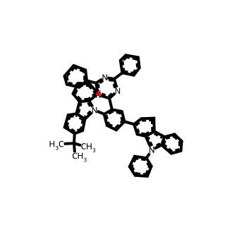 CC(C)(C)c1ccc2c3ccccc3n(-c3ccc(-c4ccc5c6ccccc6n(-c6ccccc6)c5c4)cc3-c3nc(-c4ccccc4)nc(-c4ccccc4)n3)c2c1